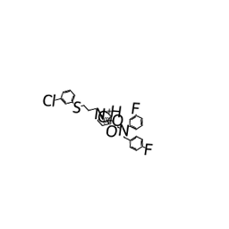 O=C(O[C@H]1C[N+]2(CCCSc3cccc(Cl)c3)CCC1CC2)N(Cc1ccc(F)cc1)c1cccc(F)c1